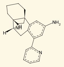 Nc1cc(-c2ccccn2)c2c(c1)[C@@]13CCCC[C@H]1[C@@H](C2)NCC3